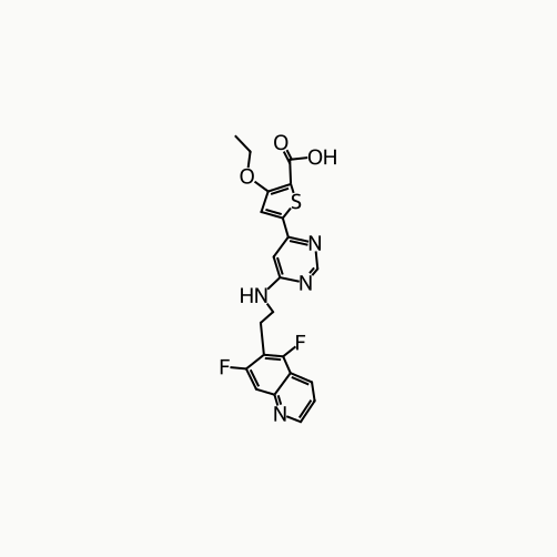 CCOc1cc(-c2cc(NCCc3c(F)cc4ncccc4c3F)ncn2)sc1C(=O)O